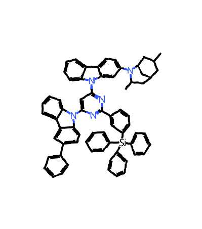 CC1CC2CC(C)N(c3ccc4c5ccccc5n(-c5cc(-n6c7ccccc7c7cc(-c8ccccc8)ccc76)nc(-c6cccc([Si](c7ccccc7)(c7ccccc7)c7ccccc7)c6)n5)c4c3)C(C1)C2